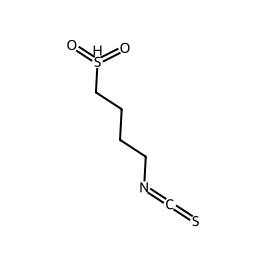 O=[SH](=O)CCCCN=C=S